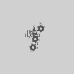 CC1(c2ccc(Oc3ccccc3)cc2)NC(=S)N(c2cccc(F)c2)C1=O